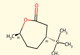 C[C@@H]1CC[C@@H]([Si](C)(C)C)CC(=O)O1